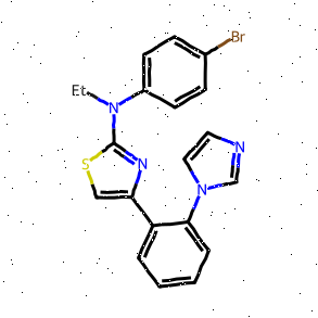 CCN(c1ccc(Br)cc1)c1nc(-c2ccccc2-n2ccnc2)cs1